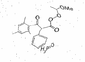 COC(C)OOC(=O)C(C(=O)c1c(C)cc(C)cc1C)c1ccccc1.O=[PH3]